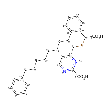 O=C(O)c1nccc(CSC(C(=O)O)c2ccccc2CCCCCCCCc2ccccc2)n1